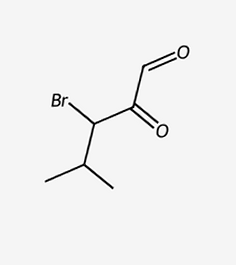 CC(C)C(Br)C(=O)C=O